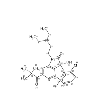 CCN(CC)CCN1C(=O)[C@@](O)(c2ccccc2Cl)c2c1cc(C(=O)C(C)(C)C)cc2C(F)(F)F